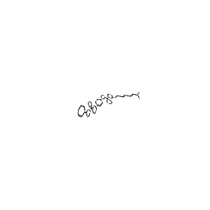 CC(C)CCCCCCOC(=O)OC1CCC(OC(=O)OC2CCCCC2)CC1